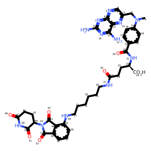 CN(Cc1cnc2nc(N)nc(N)c2n1)c1ccc(C(=O)N[C@H](CCC(=O)NCCCCCCNc2cccc3c2C(=O)N(C2CCC(=O)NC2=O)C3=O)C(=O)O)cc1